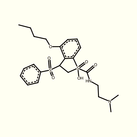 CCCCOc1cccc2c1C(S(=O)(=O)c1ccccc1)CS2(=O)(O)C(=O)NCCN(C)C